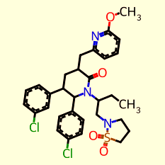 CCC(CN1CCCS1(=O)=O)N1C(=O)C(Cc2cccc(OC)n2)CC(c2cccc(Cl)c2)C1c1ccc(Cl)cc1